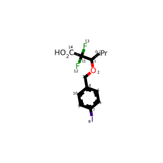 CC(C)C(OCc1ccc(I)cc1)C(F)(F)C(=O)O